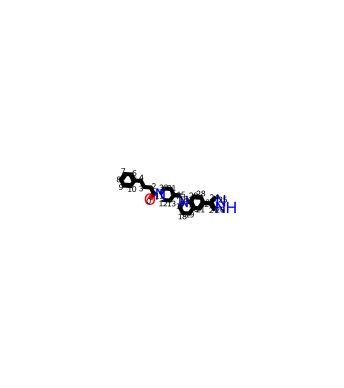 O=C(CCCc1ccccc1)N1CCC(CN2CCCc3cc(-c4cn[nH]c4)ccc32)CC1